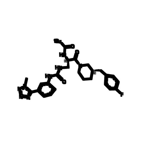 Cn1nnnc1-c1cccc(NC(=O)NC[C@@H](NC(=O)C(C)(C)C)C(=O)N2CCC[C@@H](Cc3ccc(F)cc3)C2)c1